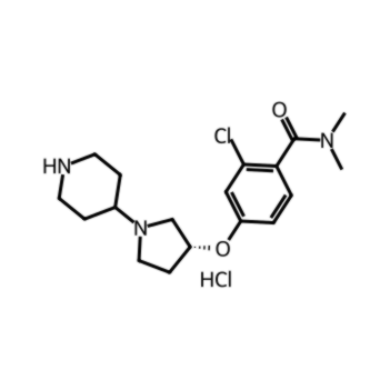 CN(C)C(=O)c1ccc(O[C@@H]2CCN(C3CCNCC3)C2)cc1Cl.Cl